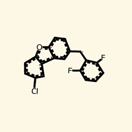 Fc1cccc(F)c1[CH]c1ccc2oc3ccc(Cl)cc3c2c1